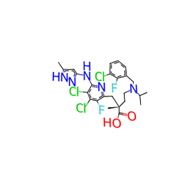 Cc1cc(Nc2nc(C[C@](C)(CCN(Cc3cccc(Cl)c3F)C(C)C)C(=O)O)c(F)c(Cl)c2Cl)n[nH]1